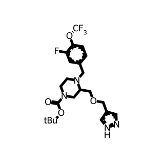 CC(C)(C)OC(=O)N1CCN(Cc2ccc(OC(F)(F)F)c(F)c2)C(COCc2cn[nH]c2)C1